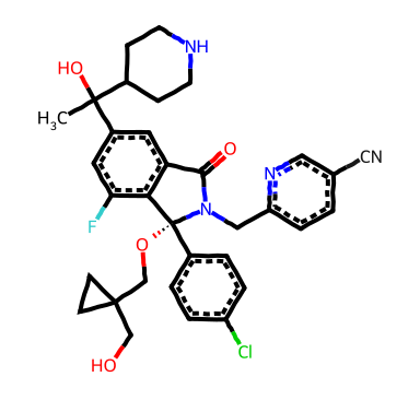 CC(O)(c1cc(F)c2c(c1)C(=O)N(Cc1ccc(C#N)cn1)[C@@]2(OCC1(CO)CC1)c1ccc(Cl)cc1)C1CCNCC1